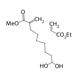 C=C(CCCCCCC(O)O)C(=O)OC.C=CC(=O)OCC